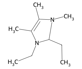 CCC1N(C)C(C)=C(C)N1CC